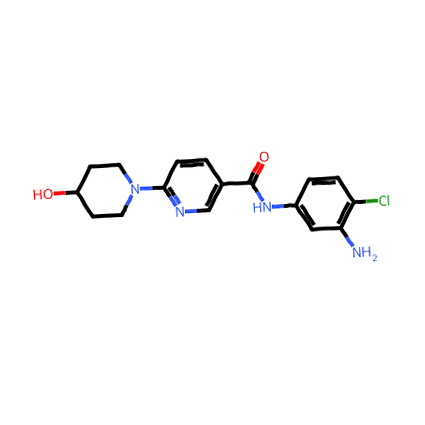 Nc1cc(NC(=O)c2ccc(N3CCC(O)CC3)nc2)ccc1Cl